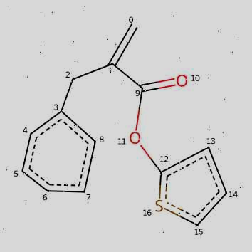 C=C(Cc1ccccc1)C(=O)Oc1cccs1